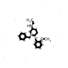 CCNC1CCCN(Cc2ccccc2)C1.COc1ccccc1I